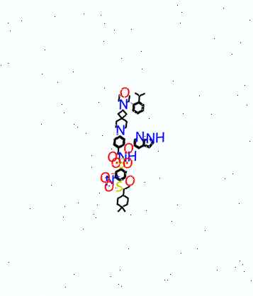 CC(C)c1ccccc1[C@H]1COCCN1C1CC2(CCN(c3ccc(C(=O)NS(=O)(=O)c4cc5c(c([N+](=O)[O-])c4)SC(C4CCC(C)(C)CC4)CO5)c(Oc4cnc5[nH]ccc5c4)c3)CC2)C1